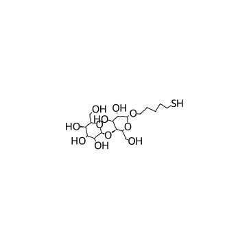 OCC1O[C@@H](O[C@@H]2C(CO)O[C@@H](OCCCCCS)[C@@H](O)C2O)C(O)C(O)[C@H]1O